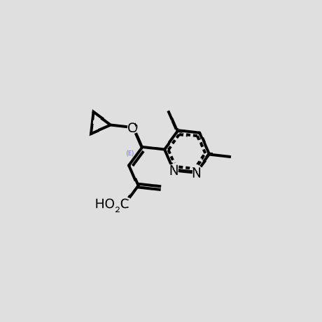 C=C(/C=C(/OC1CC1)c1nnc(C)cc1C)C(=O)O